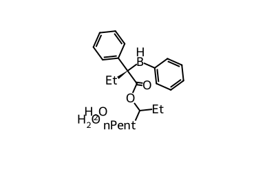 CCCCCC(CC)OC(=O)[C@](Bc1ccccc1)(CC)c1ccccc1.O.O